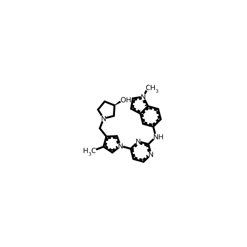 Cc1cn(-c2ccnc(Nc3ccc4c(ccn4C)c3)n2)cc1CN1CC[C@@H](O)C1